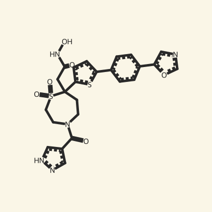 O=C(CC1(c2ccc(-c3ccc(-c4cnco4)cc3)s2)CCN(C(=O)c2cn[nH]c2)CCS1(=O)=O)NO